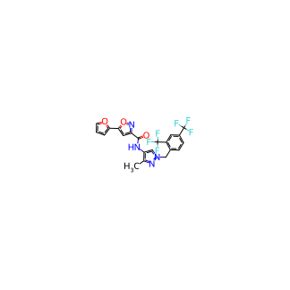 Cc1nn(Cc2ccc(C(F)(F)F)cc2C(F)(F)F)cc1NC(=O)c1cc(-c2ccco2)on1